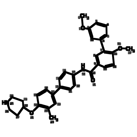 COc1cccc(-c2cc(C(=O)Nc3ccc(-c4ccc(OC5CCNCC5)c(C)c4)cc3)ccc2OC)c1